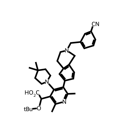 Cc1nc(C)c(C(OC(C)(C)C)C(=O)O)c(N2CCC(C)(C)CC2)c1-c1ccc2c(c1)CCN(Cc1cccc(C#N)c1)C2